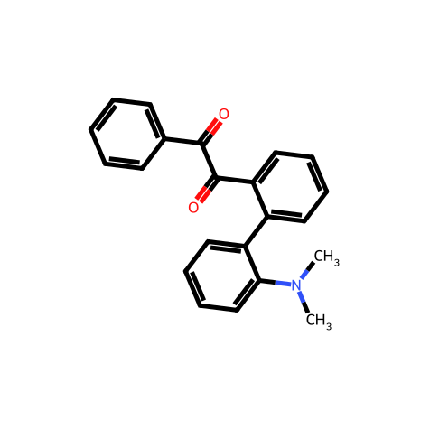 CN(C)c1ccccc1-c1ccccc1C(=O)C(=O)c1ccccc1